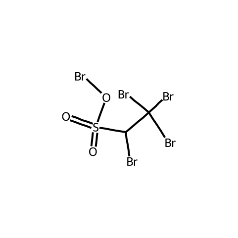 O=S(=O)(OBr)C(Br)C(Br)(Br)Br